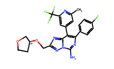 Cc1cc(-c2c(-c3ccc(F)cc3)nc(N)n3nc(CO[C@H]4CCOC4)nc23)cc(C(F)(F)F)n1